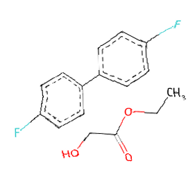 CCOC(=O)CO.Fc1ccc(-c2ccc(F)cc2)cc1